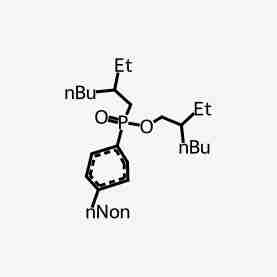 CCCCCCCCCc1ccc(P(=O)(CC(CC)CCCC)OCC(CC)CCCC)cc1